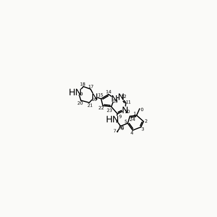 Cc1cccc([C@@H](C)Nc2ncnn3cc(N4CCNCC4)cc23)c1